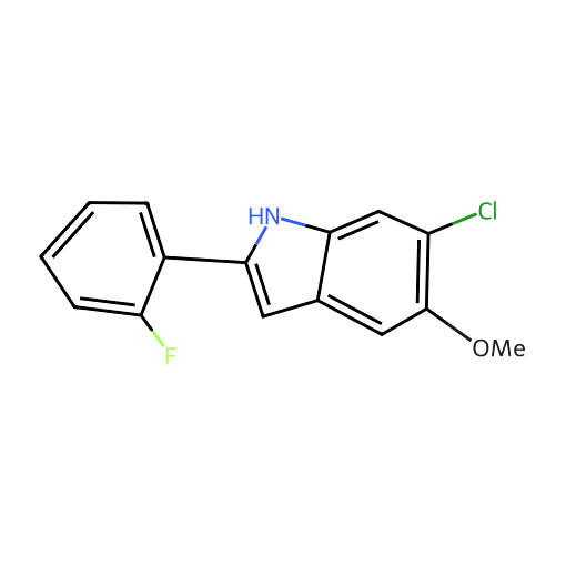 COc1cc2cc(-c3ccccc3F)[nH]c2cc1Cl